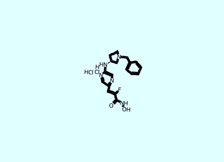 Cl.Cl.O=C(NO)/C(F)=C/c1cnc(N[C@@H]2CCN(Cc3ccccc3)C2)cn1